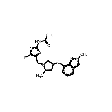 CC(=O)Nc1nc(F)c(CN2CC(Oc3cccc4cn(C)nc34)CC2C)s1